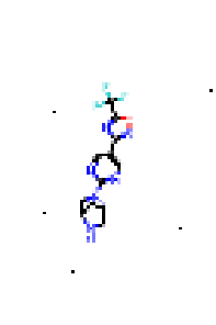 FC(F)(F)c1nc(-c2cnc(N3CC4CC3CN4)nc2)no1